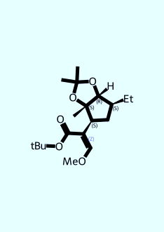 CC[C@H]1C[C@@H](/C(=C/OC)C(=O)OC(C)(C)C)[C@]2(C)OC(C)(C)O[C@H]12